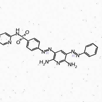 Nc1nc(N)c(/N=N/c2ccc(S(=O)(=O)Nc3ccccn3)cc2)cc1/N=N/c1ccccc1